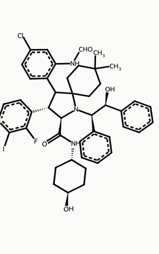 CC1(C)CCC2(CC1)C(c1ccc(Cl)cc1NC=O)[C@@H](c1ccnc(I)c1F)[C@H](C(=O)N[C@H]1CC[C@H](O)CC1)N2[C@H](c1ccccc1)[C@@H](O)c1ccccc1